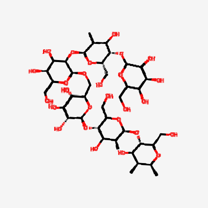 CC1C(O)[C@H](OC2OC(CO)[C@H](O)[C@H](O)C2O)[C@H](CO)O[C@H]1O[C@@H]1C(O)[C@H](O)C(CO)O[C@@H]1OCC1O[C@@H](O[C@@H]2C(CO)O[C@@H](O[C@@H]3C(CO)O[C@@H](C)[C@@H](C)C3O)[C@@H](C)C2O)[C@H](O)C(O)[C@@H]1O